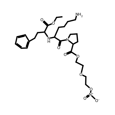 CCOC(=O)C(CCc1ccccc1)NC(CCCCN)C(=O)N1CCCC1C(=O)OCCOCCO[N+](=O)[O-]